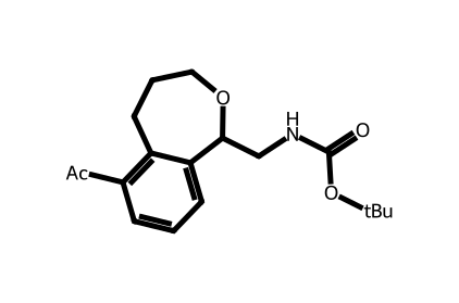 CC(=O)c1cccc2c1CCCOC2CNC(=O)OC(C)(C)C